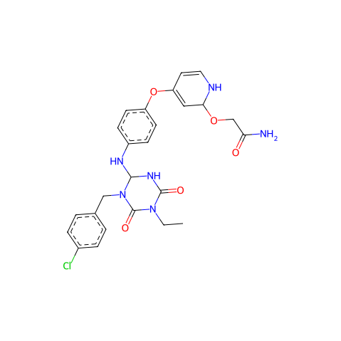 CCN1C(=O)NC(Nc2ccc(OC3=CC(OCC(N)=O)NC=C3)cc2)N(Cc2ccc(Cl)cc2)C1=O